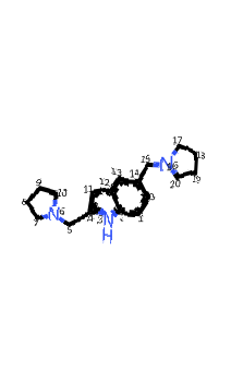 c1cc2[nH]c(CN3CCCC3)cc2cc1CN1CCCC1